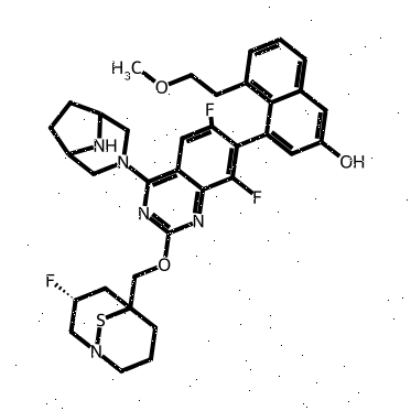 COCCc1cccc2cc(O)cc(-c3c(F)cc4c(N5CC6CCC(C5)N6)nc(OCC56CCCN(C[C@H](F)C5)S6)nc4c3F)c12